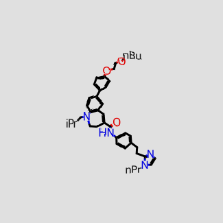 CCCCOCCOc1ccc(-c2ccc3c(c2)C=C(C(=O)Nc2ccc(CCc4nccn4CCC)cc2)CCN3CC(C)C)cc1